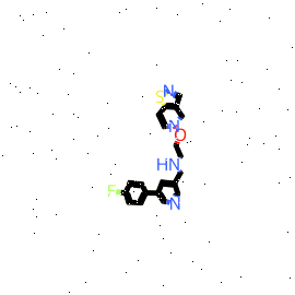 Fc1ccc(-c2cncc(CNCCON3C=Cc4sncc4C3)c2)cc1